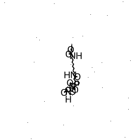 O=C(COI)NCCCCCCCCNC(=O)Cc1cccc2c1C(=O)N(C1CCC(=O)NC1=O)C2=O